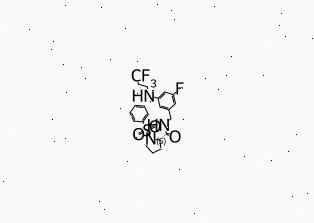 O=C(NCc1cc(F)cc(NCCC(F)(F)F)c1)[C@@H]1CCCN1S(=O)(=O)c1ccccc1